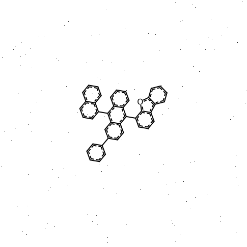 c1ccc(-c2ccc3c(-c4cccc5c4oc4ccccc45)c4ccccc4c(-c4cccc5ccccc45)c3c2)cc1